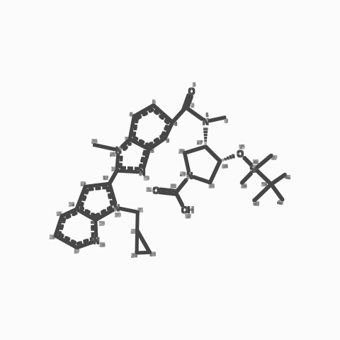 CN(C(=O)c1ccc2c(c1)nc(-c1cc3cccnc3n1CC1CC1)n2C)[C@H]1CN(C(=O)O)C[C@H]1O[Si](C)(C)C(C)(C)C